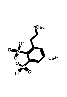 CCCCCCCCCCCCc1cccc(S(=O)(=O)[O-])c1S(=O)(=O)[O-].[Ca+2]